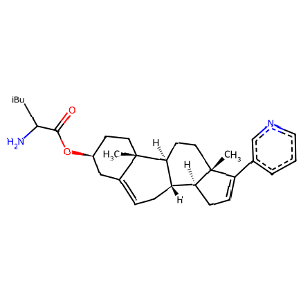 CCC(C)C(N)C(=O)O[C@H]1CC[C@@]2(C)C(=CC[C@@H]3[C@@H]2CC[C@]2(C)C(c4cccnc4)=CC[C@@H]32)C1